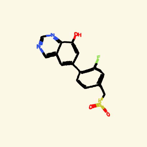 O=[SH](=O)Cc1ccc(-c2cc(O)c3ncncc3c2)c(F)c1